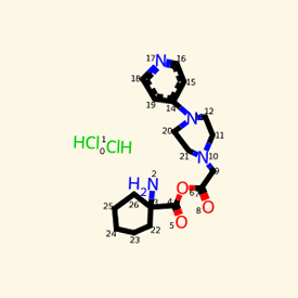 Cl.Cl.NC1(C(=O)OC(=O)CN2CCN(c3ccncc3)CC2)CCCCC1